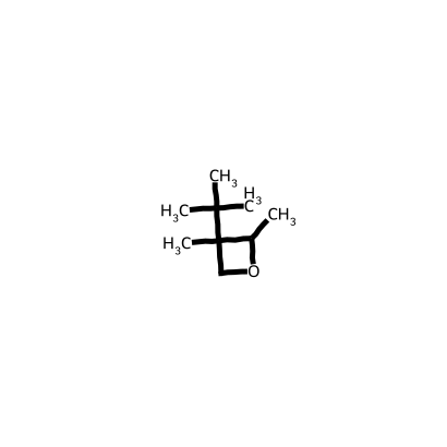 CC1OCC1(C)C(C)(C)C